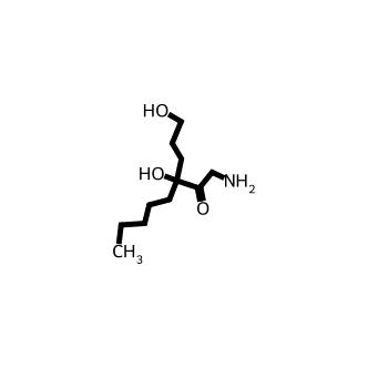 CCCCCC(O)(CCCO)C(=O)CN